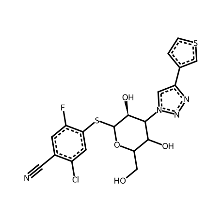 N#Cc1cc(F)c(SC2OC(CO)C(O)C(n3cc(-c4ccsc4)nn3)[C@@H]2O)cc1Cl